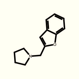 c1ccc2oc(CN3CCCC3)cc2c1